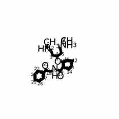 CNCCC(CCNC)Oc1ccccc1C(=O)NCC(=O)c1ccccc1